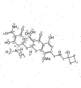 CCC1(CNCc2cc(O)c3c(c2OC)C[C@H]2C[C@H]4[C@H](N(C)C)C(O)=C(C(N)=O)C(=O)[C@@]4(O)C(O)=C2C3=O)CCC1